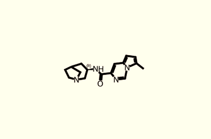 Cc1ccc2cc(C(=O)N[C@@H]3CC4CCN(C4)C3)ncn12